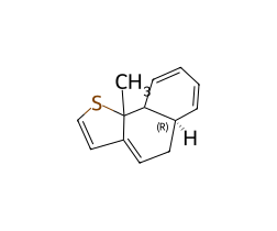 CC12SC=CC1=CC[C@@H]1C=CC=CC12